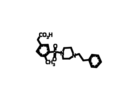 Cc1ccc(CC(=O)O)cc1S(=O)(=O)N1CCN(CCc2ccccc2)CC1